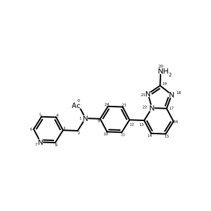 CC(=O)N(Cc1cccnc1)c1ccc(-c2cccc3nc(N)nn23)cc1